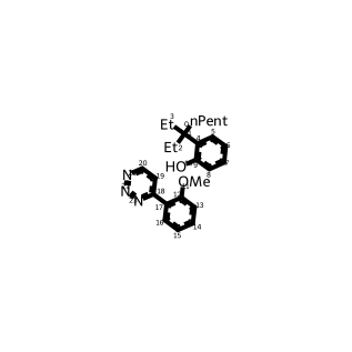 CCCCCC(CC)(CC)c1ccccc1O.COc1ccccc1-c1ccnnn1